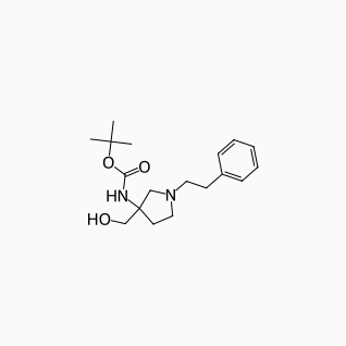 CC(C)(C)OC(=O)NC1(CO)CCN(CCc2ccccc2)C1